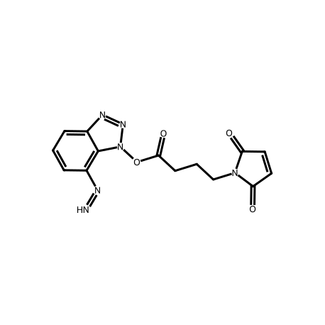 N=Nc1cccc2nnn(OC(=O)CCCN3C(=O)C=CC3=O)c12